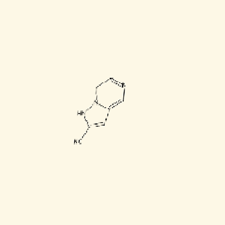 N#CC1=CC2=CN=CCN2N1